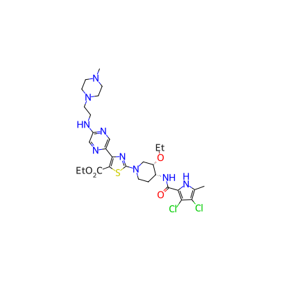 CCOC(=O)c1sc(N2CC[C@@H](NC(=O)c3[nH]c(C)c(Cl)c3Cl)[C@@H](OCC)C2)nc1-c1cnc(NCCN2CCN(C)CC2)cn1